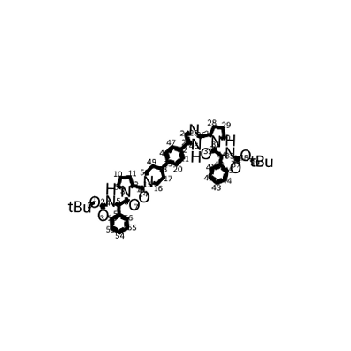 CC(C)(C)OC(=O)NC(C(=O)N1CCCC1C(=O)N1CCC(c2ccc(-c3cnc(C4CCCN4C(=O)[C@H](NC(=O)OC(C)(C)C)c4ccccc4)[nH]3)cc2)CC1)c1ccccc1